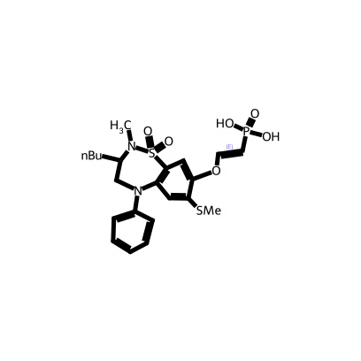 CCCCC1CN(c2ccccc2)c2cc(SC)c(O/C=C/P(=O)(O)O)cc2S(=O)(=O)N1C